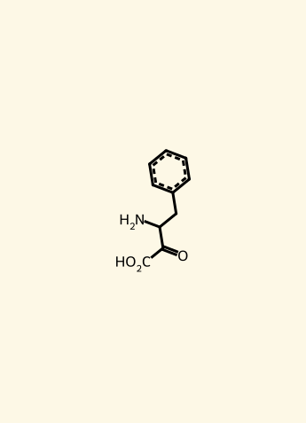 NC(Cc1ccccc1)C(=O)C(=O)O